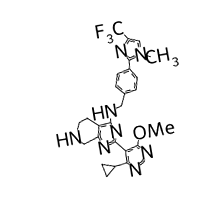 COc1ncnc(C2CC2)c1-c1nc2c(c(NCc3ccc(-c4nc(C(F)(F)F)cn4C)cc3)n1)CCNC2